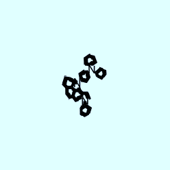 C1=CCCC(N(c2ccccc2)c2ccc(N3C4=CC=CC5C=CC6C=c7c(ccn7-c7ccccc7)=C3C6C45)cc2)=C1